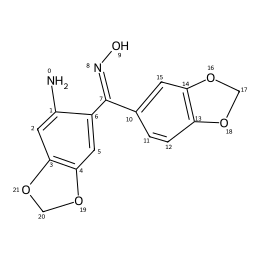 Nc1cc2c(cc1/C(=N/O)c1ccc3c(c1)OCO3)OCO2